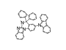 CN1c2nc3ccccc3n2-c2ccc(-n3c4ccccc4c4ccccc43)cc2C1(c1ccccc1)c1ccccc1